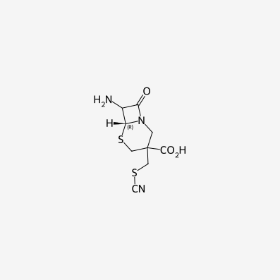 N#CSCC1(C(=O)O)CS[C@@H]2C(N)C(=O)N2C1